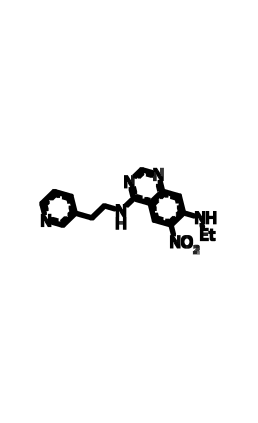 CCNc1cc2ncnc(NCCc3cccnc3)c2cc1[N+](=O)[O-]